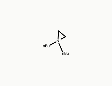 CCCC[N+]1(CCCC)CC1